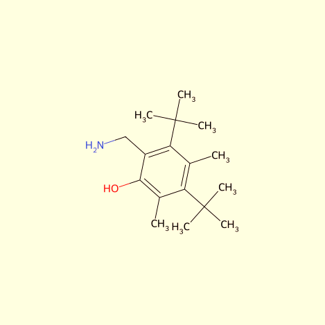 Cc1c(O)c(CN)c(C(C)(C)C)c(C)c1C(C)(C)C